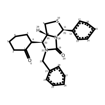 O=C1CCCCC1[C@H]1[C@@H]2CS[C@@H](c3ccccc3)N2C(=O)N1Cc1ccccc1